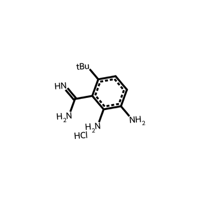 CC(C)(C)c1ccc(N)c(N)c1C(=N)N.Cl